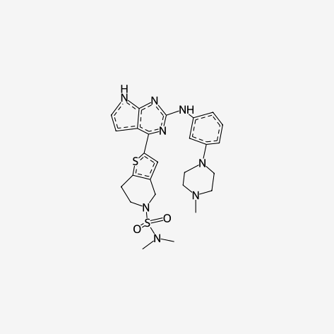 CN1CCN(c2cccc(Nc3nc(-c4cc5c(s4)CCN(S(=O)(=O)N(C)C)C5)c4cc[nH]c4n3)c2)CC1